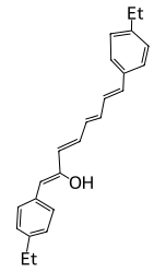 CCc1ccc(C=CC=CC=CC(O)=Cc2ccc(CC)cc2)cc1